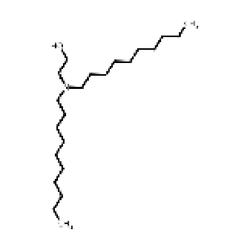 CCCCCCCCCCN(CCO)CCCCCCCCCC